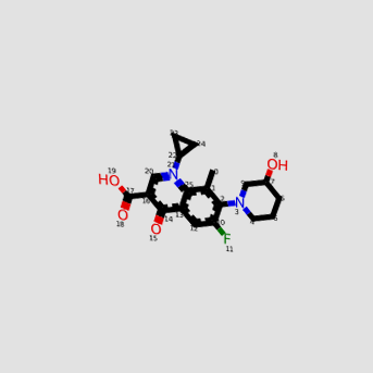 Cc1c(N2CCCC(O)C2)c(F)cc2c(=O)c(C(=O)O)cn(C3CC3)c12